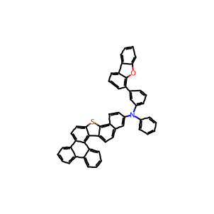 c1ccc(N(c2cccc(-c3cccc4c3oc3ccccc34)c2)c2ccc3c(ccc4c3sc3ccc5c6ccccc6c6ccccc6c5c34)c2)cc1